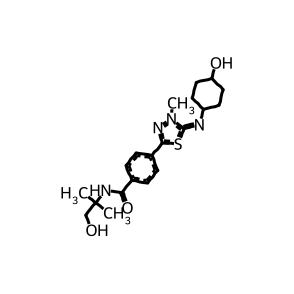 Cn1nc(-c2ccc(C(=O)NC(C)(C)CO)cc2)s/c1=N/C1CCC(O)CC1